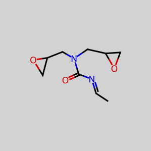 CC=NC(=O)N(CC1CO1)CC1CO1